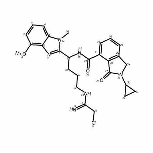 COc1cccc2c1nc(C(CCCNC(=N)CCl)NC(=O)c1cccc3c1C(=O)N(C1CC1)C3)n2C